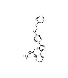 COC(=O)Cn1c(-c2ccccc2)ccc1-c1ccc(OCCc2ccccc2)cc1